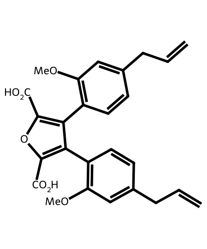 C=CCc1ccc(-c2c(C(=O)O)oc(C(=O)O)c2-c2ccc(CC=C)cc2OC)c(OC)c1